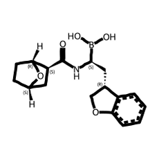 O=C(N[C@H](C[C@H]1COc2ccccc21)B(O)O)[C@H]1C[C@@H]2CC[C@H]1O2